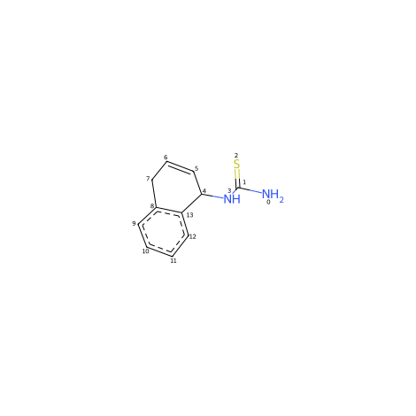 NC(=S)NC1C=CCc2ccccc21